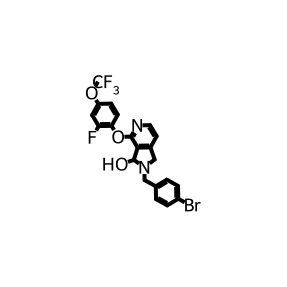 OC1c2c(ccnc2Oc2ccc(OC(F)(F)F)cc2F)CN1Cc1ccc(Br)cc1